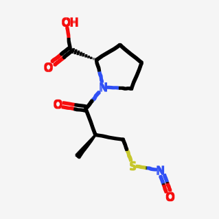 C[C@H](CSN=O)C(=O)N1CCC[C@H]1C(=O)O